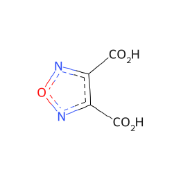 O=C(O)c1nonc1C(=O)O